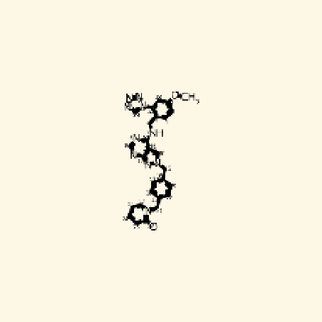 COc1ccc(CNc2ncnc3nn(Cc4ccc(Cn5ccccc5=O)cc4)cc23)c(-n2cnnn2)c1